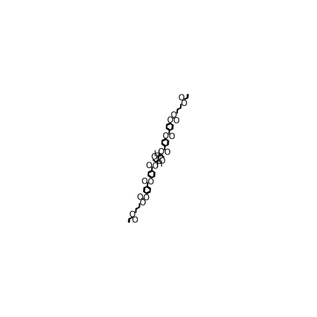 C=CC(=O)OCCCCOC(=O)Oc1ccc(C(=O)Oc2ccc(C(=O)OC3CO[C@H]4[C@H](OC(=O)c5ccc(OC(=O)c6ccc(OC(=O)OCCCCOC(=O)C=C)cc6)cc5)CO[C@@H]34)cc2)cc1